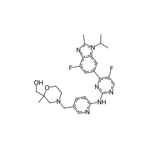 Cc1nc2c(F)cc(-c3nc(Nc4ccc(CN5CCOC(C)(CO)C5)cn4)ncc3F)cc2n1C(C)C